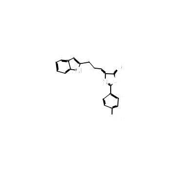 CC(C)(C)c1ccc(C2=N/C(=C\CCc3cc4ccccc4[nH]3)C(=O)O2)cc1